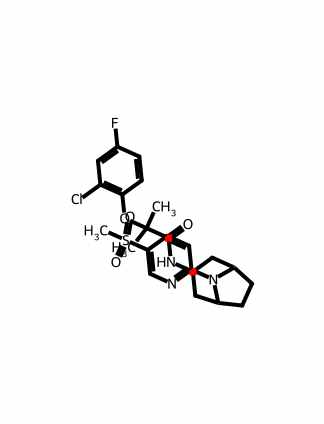 CC(C)(Oc1ccc(F)cc1Cl)C(=O)NC1CC2CCC(C1)N2c1ccc(S(C)(=O)=O)cn1